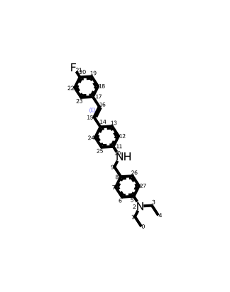 CCN(CC)c1ccc(CNc2ccc(/C=C/c3ccc(F)cc3)cc2)cc1